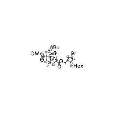 CCCCCCc1cc(Br)sc1COC(=O)CCC(C)(C#N)CC(C)(SC(=S)SCCCC)C(=O)OC